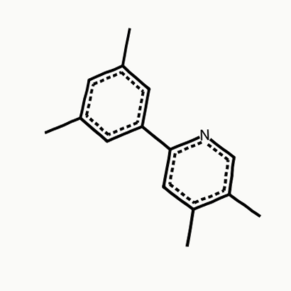 Cc1cc(C)cc(-c2cc(C)c(C)cn2)c1